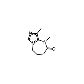 Cc1ncn2c1N(C)C(=O)CCC2